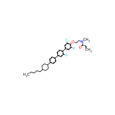 C=CC(=O)N(C)CCOc1c(F)cc(-c2ccc(-c3ccc(C4CCC(CCCCC)CC4)cc3)cc2F)cc1F